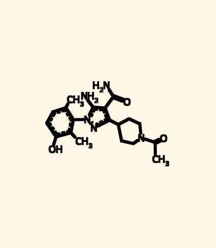 CC(=O)N1CCC(c2nn(-c3c(C)ccc(O)c3C)c(N)c2C(N)=O)CC1